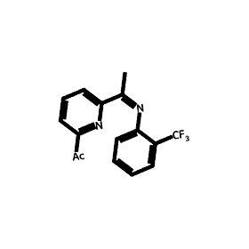 CC(=O)c1cccc(/C(C)=N\c2ccccc2C(F)(F)F)n1